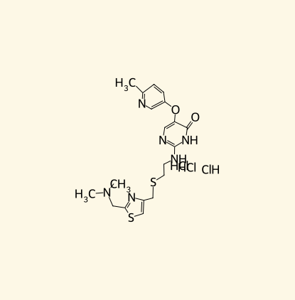 Cc1ccc(Oc2cnc(NCCSCc3csc(CN(C)C)n3)[nH]c2=O)cn1.Cl.Cl.Cl